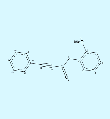 COc1ccccc1CC(=O)C#Cc1ccccc1